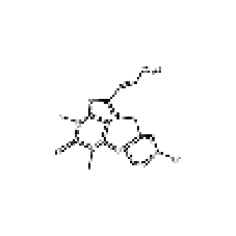 CCOC(=O)/C=C/c1nc2c(c(=O)n(C)c(=O)n2C)n1Cc1cccc(Br)c1